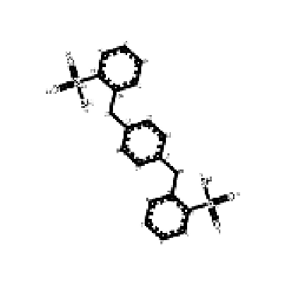 O=S(=O)(S)c1ccccc1Cc1ccc(Cc2ccccc2S(=O)(=O)S)cc1